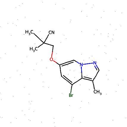 Cc1cnn2cc(OCC(C)(C)C#N)cc(Br)c12